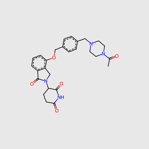 CC(=O)N1CCN(Cc2ccc(COc3cccc4c3CN(C3CCC(=O)NC3=O)C4=O)cc2)CC1